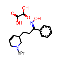 CCCN1CC=CC(CCC(=NO)c2ccccc2)C1.O=C(O)C(=O)O